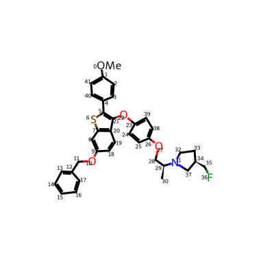 COc1ccc(-c2sc3cc(OCc4ccccc4)ccc3c2Oc2ccc(OC[C@H](C)N3CC[C@@H](CF)C3)cc2)cc1